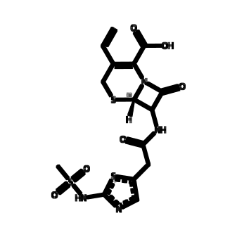 C=CC1=C(C(=O)O)N2C(=O)C(NC(=O)Cc3cnc(NS(C)(=O)=O)s3)[C@@H]2SC1